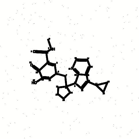 CNC(=O)c1nn(CC2(n3cc(C4CC4)c4cccnc43)CCCC2)cc(O)c1=O